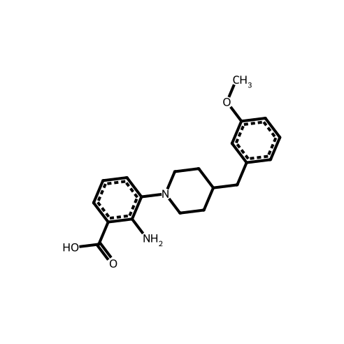 COc1cccc(CC2CCN(c3cccc(C(=O)O)c3N)CC2)c1